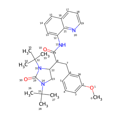 COc1cccc(CC(C(=O)Nc2cccc3cccnc23)C2CN(C(C)(C)C)C(=O)N2C(C)(C)C)c1